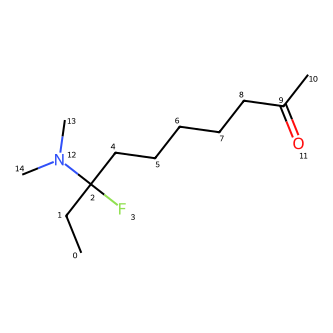 CCC(F)(CCCCCC(C)=O)N(C)C